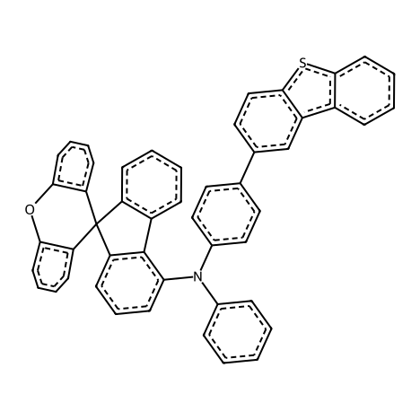 c1ccc(N(c2ccc(-c3ccc4sc5ccccc5c4c3)cc2)c2cccc3c2-c2ccccc2C32c3ccccc3Oc3ccccc32)cc1